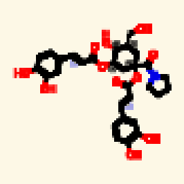 O=C(/C=C/c1ccc(O)c(O)c1)O[C@@H]1C[C@](OC(=O)/C=C/c2ccc(O)c(O)c2)(C(=O)N2CCCC2)C[C@@H](CO)[C@H]1O